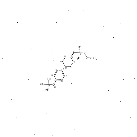 CCCC(F)(F)C[C@H]1CC[C@H](c2ccc(OC(F)(F)F)cc2)CC1